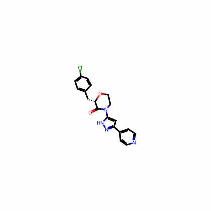 O=C1[C@H](Cc2ccc(Cl)cc2)OCCN1c1cc(-c2ccncc2)n[nH]1